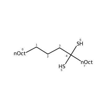 CCCCCCCCCCCC(S)(S)CCCCCCCC